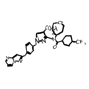 O=C(O)c1cn(-c2ccc(-c3cc4ncccn4n3)cc2)nc1N(C(=O)C1CCC(C(F)(F)F)CC1)C1CCOCC1